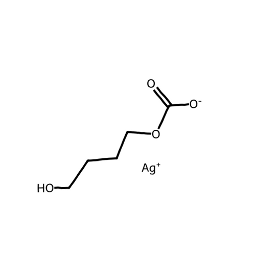 O=C([O-])OCCCCO.[Ag+]